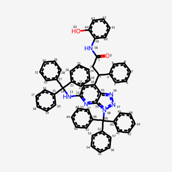 O=C(CC(c1ccccc1)c1cc(NC(c2ccccc2)(c2ccccc2)c2ccccc2)nc2c1nnn2C(c1ccccc1)(c1ccccc1)c1ccccc1)Nc1ccccc1O